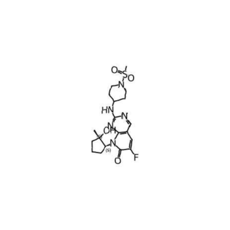 C[C@]1(O)CCC[C@@H]1n1c(=O)c(F)cc2cnc(NC3CCN(S(C)(=O)=O)CC3)nc21